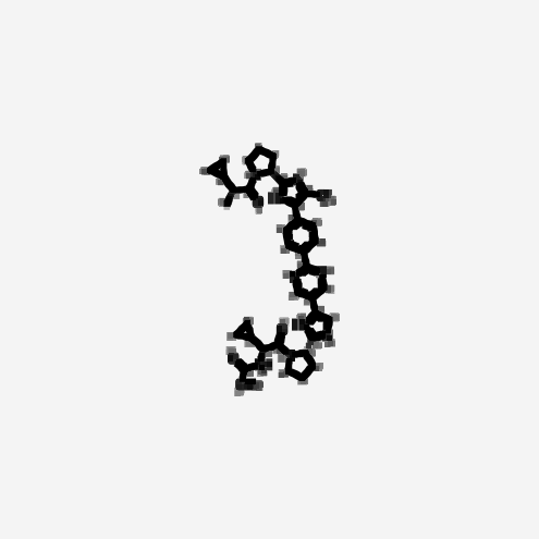 [CH2][C@H](C(=O)N1CCC[C@H]1c1nc(C(F)(F)F)c(-c2ccc(-c3ncc(-c4cnc([C@@H]5CCCN5C(=O)[C@@H](NC(=O)OC)C5CC5)[nH]4)cn3)cc2)[nH]1)C1CC1